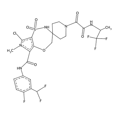 CC(NC(=O)C(=O)N1CCC2(CC1)COc1c(c(Cl)n(C)c1C(=O)Nc1ccc(F)c(C(F)F)c1)S(=O)(=O)N2)C(F)(F)F